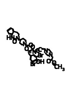 CCOC(=O)CN1CCN(C=C=C=NC(=O)[C@@H](Cc2cc(Br)c(O)c(Br)c2)OC(=O)N2CCC(N3CCc4ccccc4NC3=O)CC2)CC1